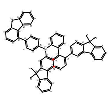 CC1(C)c2ccccc2-c2cc(-c3ccccc3-c3ccccc3N(c3ccc(-c4cccc5sc6ccccc6c45)cc3)c3ccc4c(c3)C(C)(C)c3ccccc3-4)ccc21